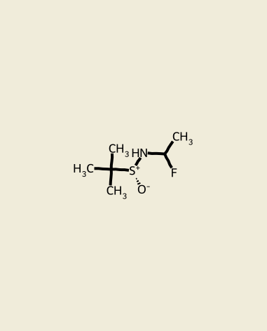 CC(F)N[S@+]([O-])C(C)(C)C